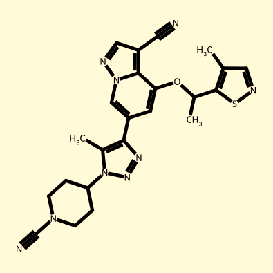 Cc1cnsc1C(C)Oc1cc(-c2nnn(C3CCN(C#N)CC3)c2C)cn2ncc(C#N)c12